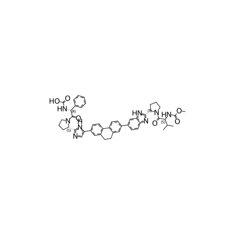 COC(=O)N[C@H](C(=O)N1CCC[C@H]1c1nc2ccc(-c3ccc4c(c3)CCc3cc(-c5cnc([C@@H]6CCCN6C(=O)[C@H](NC(=O)O)c6ccccc6)[nH]5)ccc3-4)cc2[nH]1)C(C)C